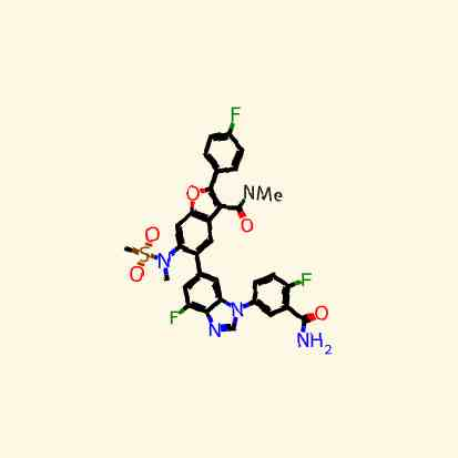 CNC(=O)c1c(-c2ccc(F)cc2)oc2cc(N(C)S(C)(=O)=O)c(-c3cc(F)c4ncn(-c5ccc(F)c(C(N)=O)c5)c4c3)cc12